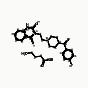 CCCCC(=O)O.O=C(c1ccc(F)cc1)C1CCN(CCn2c(=O)[nH]c3ccccc3c2=O)CC1